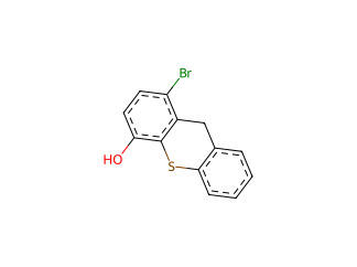 Oc1ccc(Br)c2c1Sc1ccccc1C2